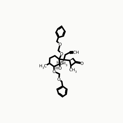 C#CC[C@](C)([C@H]1CC(=O)C1C)C1(OCOCc2ccccc2)CCC(C)C(OCOCc2ccccc2)[C@@]1(C)O